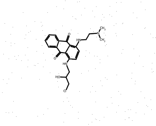 CN(C)CCNc1ccc(NCC(O)CCl)c2c1C(=O)c1ccccc1C2=O